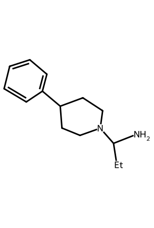 CCC(N)N1CCC(c2ccccc2)CC1